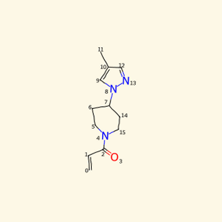 C=CC(=O)N1CCC(n2cc(C)cn2)CC1